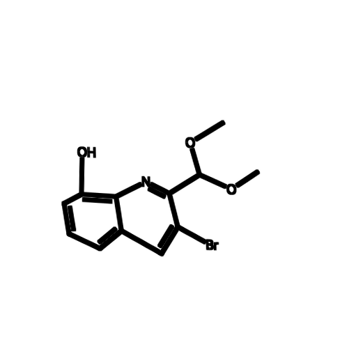 COC(OC)c1nc2c(O)cccc2cc1Br